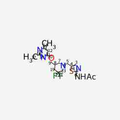 CC(=O)Nc1ncc(CN2CC(COc3cc(C)nc(C)n3)CC(F)(F)C2)s1